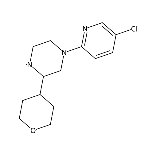 Clc1ccc(N2CC[N]C(C3CCOCC3)C2)nc1